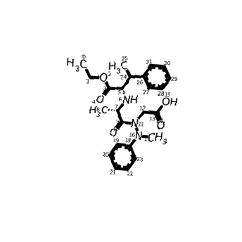 CCOC(=O)[C@@H](N[C@@H](C)C(=O)N(CC(=O)O)N(C)c1ccccc1)C(C)c1ccccc1